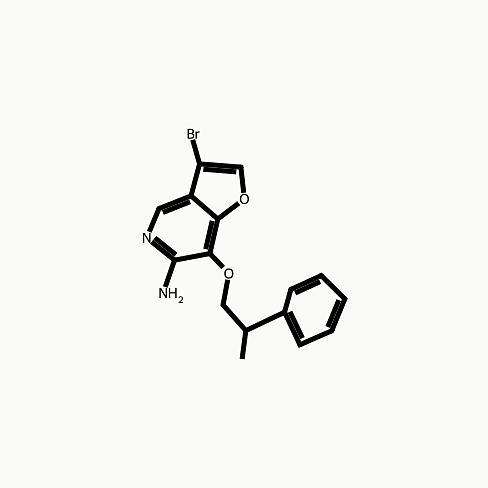 CC(COc1c(N)ncc2c(Br)coc12)c1ccccc1